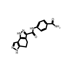 NC(=O)c1ccc(NC(=O)c2n[nH]c3c2CCc2[nH]ncc2-3)cc1